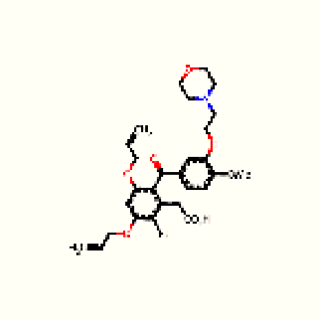 C=CCOc1cc(OCC=C)c(C(=O)c2ccc(OC)c(OCCN3CCOCC3)c2)c(CC(=O)O)c1CC